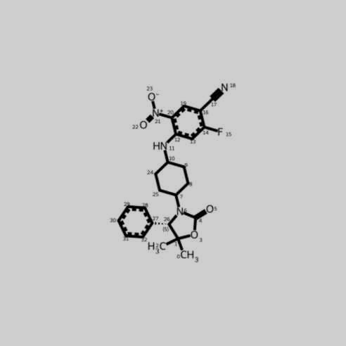 CC1(C)OC(=O)N(C2CCC(Nc3cc(F)c(C#N)cc3[N+](=O)[O-])CC2)[C@H]1c1ccccc1